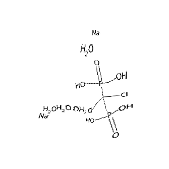 O.O.O.O.O=P(O)(O)C(Cl)(Cl)P(=O)(O)O.[Na].[Na]